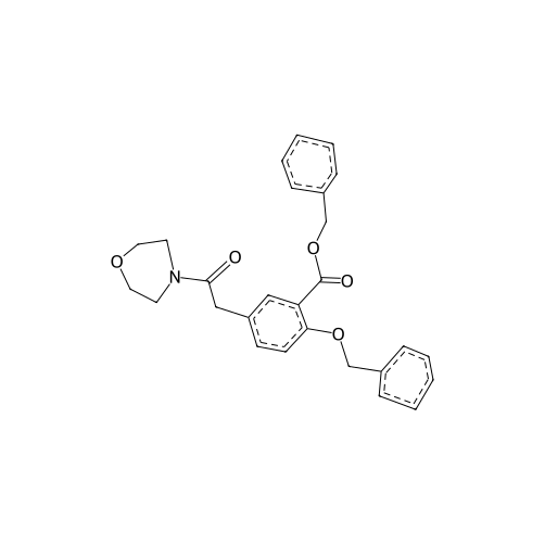 O=C(OCc1ccccc1)c1cc(CC(=O)N2CCOCC2)ccc1OCc1ccccc1